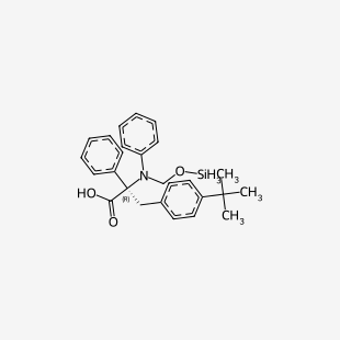 CC(C)(C)c1ccc(C[C@](C(=O)O)(c2ccccc2)N(CO[SiH3])c2ccccc2)cc1